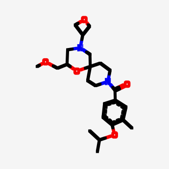 COCC1CN(C2COC2)CC2(CCN(C(=O)c3ccc(OC(C)C)c(C)c3)CC2)O1